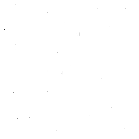 CN(C=CCS)Cc1ccccc1